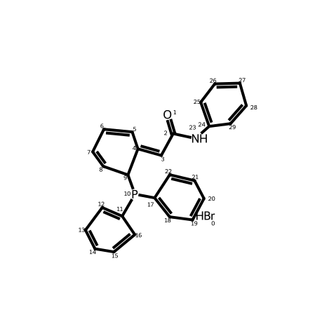 Br.O=C(C=C1C=CC=CC1P(c1ccccc1)c1ccccc1)Nc1ccccc1